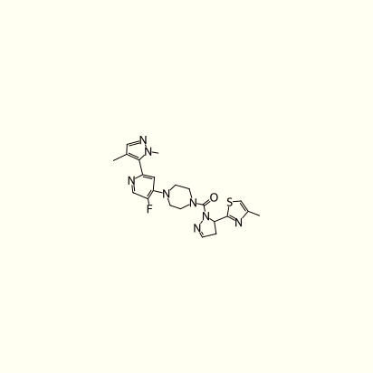 Cc1csc(C2CC=NN2C(=O)N2CCN(c3cc(-c4c(C)cnn4C)ncc3F)CC2)n1